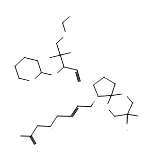 CCOCC(C)(C)C(C=C[C@@H]1CCC2(OCC(C)(C)CO2)[C@H]1CC=CCCCC(=O)O)OC1CCCCO1